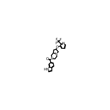 O=C(c1ccc2cc[nH]c2c1)N1CCN2CC(Oc3cccnc3C(F)(F)F)CC2C1